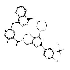 Nc1ncc(-c2nc3c(c(N4CCOCC4)n2)CCN(C(=O)c2cc(Cc4n[nH]c(=O)c5ccccc45)ccc2F)C3)cc1C(F)(F)F